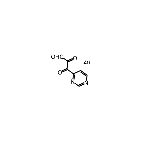 O=CC(=O)C(=O)c1ccncn1.[Zn]